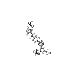 COC(=O)Cc1cc(C)n(CC(=O)N2CCC(c3cnc(-c4cc(SC(F)(F)F)cc(C(C)(C)C)c4)s3)CC2)n1